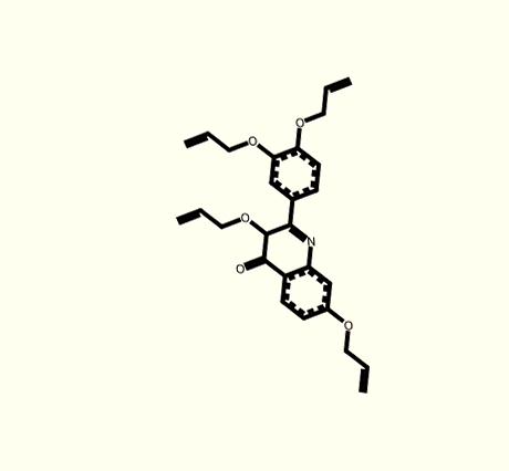 C=CCOc1ccc2c(c1)N=C(c1ccc(OCC=C)c(OCC=C)c1)C(OCC=C)C2=O